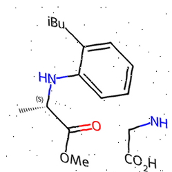 CCC(C)c1ccccc1N[C@@H](C)C(=O)OC.NCC(=O)O